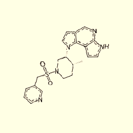 C[C@@H]1CCN(S(=O)(=O)Cc2cccnc2)C[C@@H]1n1ccc2cnc3[nH]ccc3c21